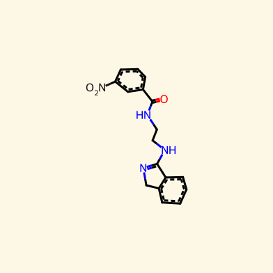 O=C(NCCNC1=NCc2ccccc21)c1cccc([N+](=O)[O-])c1